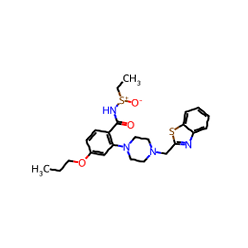 CCCOc1ccc(C(=O)N[S+]([O-])CC)c(N2CCN(Cc3nc4ccccc4s3)CC2)c1